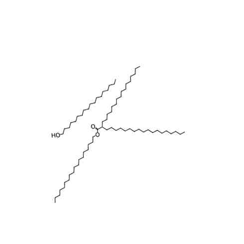 CCCCCCCCCCCCCCCCCCO.CCCCCCCCCCCCCCCCCCOC(=O)C(CCCCCCCCCCCCCCCC)CCCCCCCCCCCCCCCCCC